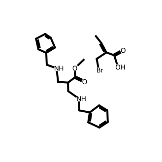 CC=C(CBr)C(=O)O.COC(=O)C(CNCc1ccccc1)CNCc1ccccc1